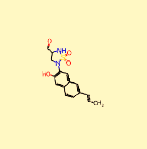 C/C=C/c1ccc2cc(O)c(N3CC(C=O)NS3(=O)=O)cc2c1